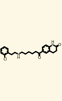 O=C1CCc2cc(C(=O)CCCCCNCCc3ccccc3Cl)ccc2N1